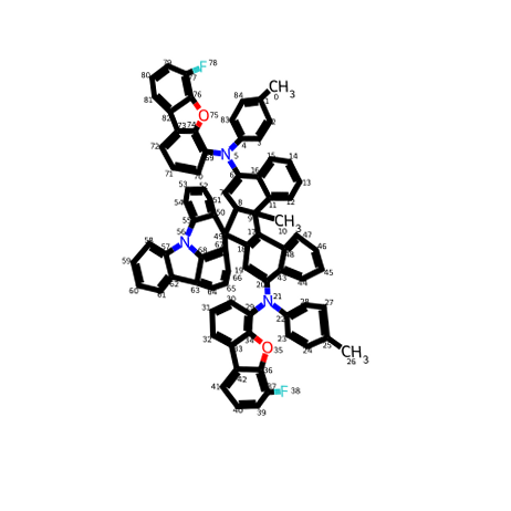 Cc1ccc(N(C2=CC3C(C)(c4ccccc42)c2c(cc(N(c4ccc(C)cc4)c4cccc5c4oc4c(F)cccc45)c4ccccc24)C32c3ccccc3-n3c4ccccc4c4cccc2c43)c2cccc3c2oc2c(F)cccc23)cc1